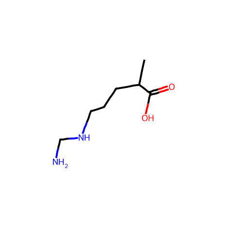 CC(CCCNCN)C(=O)O